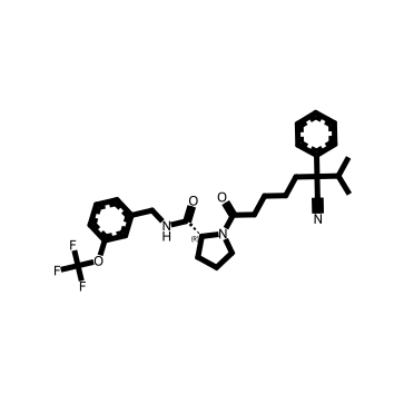 CC(C)C(C#N)(CCCCC(=O)N1CCC[C@@H]1C(=O)NCc1cccc(OC(F)(F)F)c1)c1ccccc1